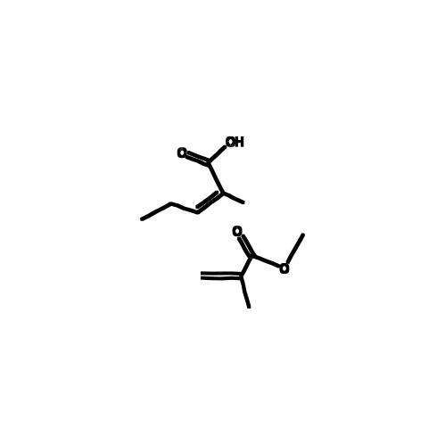 C=C(C)C(=O)OC.CCC=C(C)C(=O)O